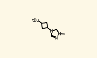 CN1CN(C2CC(C(C)(C)C)C2)C=N1